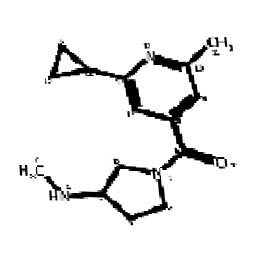 CNC1CCN(C(=O)c2cc(C)nc(C3CC3)c2)C1